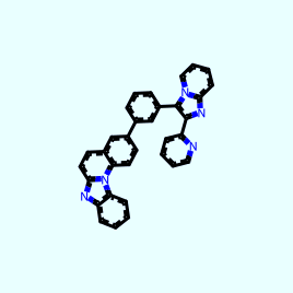 c1ccc(-c2nc3ccccn3c2-c2cccc(-c3ccc4c(ccc5nc6ccccc6n54)c3)c2)nc1